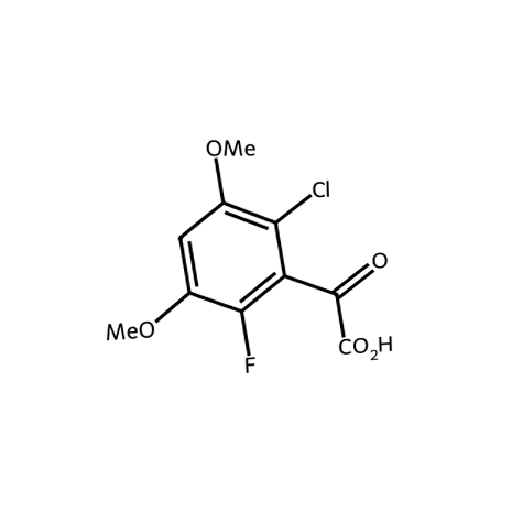 COc1cc(OC)c(Cl)c(C(=O)C(=O)O)c1F